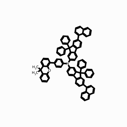 CC1(C)c2ccccc2Oc2c(-c3ccc(N(c4ccc5c(c4)C(c4ccccc4)(c4ccccc4)c4cc(-c6cccc7ccccc67)ccc4-5)c4ccc5c(c4)C(c4ccccc4)(c4ccccc4)c4cc(-c6cccc7ccccc67)ccc4-5)cc3)cccc21